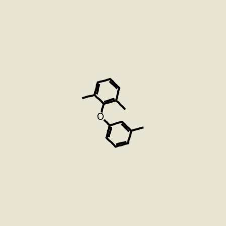 Cc1cccc(Oc2c(C)cccc2C)c1